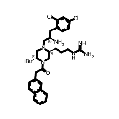 CCC(C)[C@@H]1CN(C[C@H](N)Cc2ccc(Cl)cc2Cl)[C@@H](CCCNC(=N)N)CN1C(=O)Cc1ccc2ccccc2c1